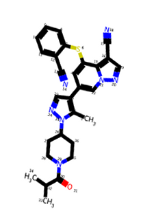 Cc1c(-c2cc(Sc3ccccc3C#N)c3c(C#N)cnn3c2)cnn1C1CCN(C(=O)C(C)C)CC1